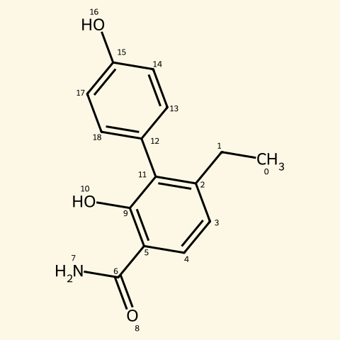 CCc1ccc(C(N)=O)c(O)c1-c1ccc(O)cc1